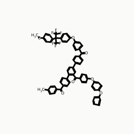 COc1ccc(C(c2ccc(Oc3ccc(C(=O)c4ccc(-c5ccc(-c6ccc(C(=O)c7ccc(C)cc7)cc6)c(C(=O)c6ccc(Oc7ccc(Oc8ccccc8)cc7)cc6)c5)cc4)cc3)cc2)(C(F)(F)F)C(F)(F)F)cc1